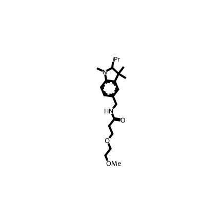 COCCOCCC(=O)NCc1ccc2c(c1)C(C)(C)C(C(C)C)N2C